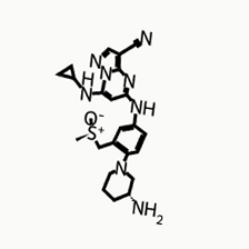 C[S@@+]([O-])Cc1cc(Nc2cc(NC3CC3)n3ncc(C#N)c3n2)ccc1N1CCC[C@@H](N)C1